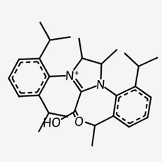 CC(C)c1cccc(C(C)C)c1N1C(C(=O)O)=[N+](c2c(C(C)C)cccc2C(C)C)C(C)C1C